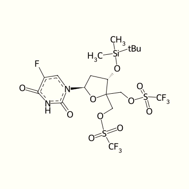 CC(C)(C)[Si](C)(C)O[C@H]1C[C@H](n2cc(F)c(=O)[nH]c2=O)OC1(COS(=O)(=O)C(F)(F)F)COS(=O)(=O)C(F)(F)F